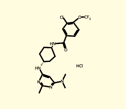 Cc1nc(N[C@H]2CC[C@@H](NC(=O)c3ccc(OC(F)(F)F)c(Cl)c3)CC2)cc(N(C)C)n1.Cl